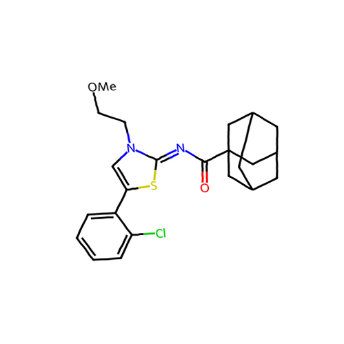 COCCn1cc(-c2ccccc2Cl)s/c1=N\C(=O)C12CC3CC(CC(C3)C1)C2